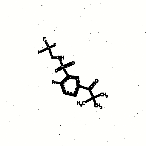 CC(C)(C)C(=O)c1ccc(F)c(S(=O)(=O)NCC(F)(F)F)c1